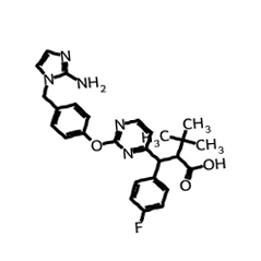 CC(C)(C)C(C(=O)O)C(c1ccc(F)cc1)c1ccnc(Oc2ccc(Cn3ccnc3N)cc2)n1